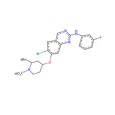 CC(C)(C)C1CC(Oc2cc3nc(Nc4cccc(I)c4)ncc3cc2Br)CCN1C(=O)O